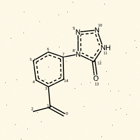 C=C(C)c1cccc(-n2nn[nH]c2=O)c1